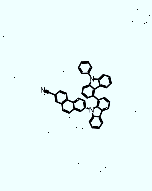 N#Cc1ccc2c(ccc3cc(-n4c5ccccc5c5cccc(-c6cccc7c6c6ccccc6n7-c6ccccc6)c54)ccc32)c1